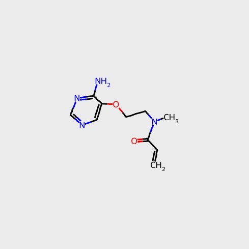 C=CC(=O)N(C)CCOc1cncnc1N